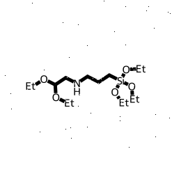 CCOC(CNCCC[Si](OCC)(OCC)OCC)OCC